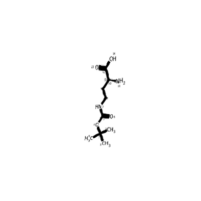 CC(C)(C)OC(=O)NCC[C@H](N)C(=O)O